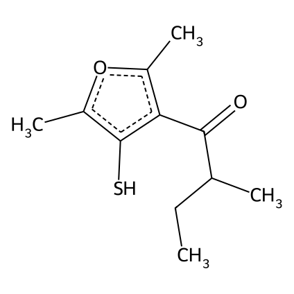 CCC(C)C(=O)c1c(C)oc(C)c1S